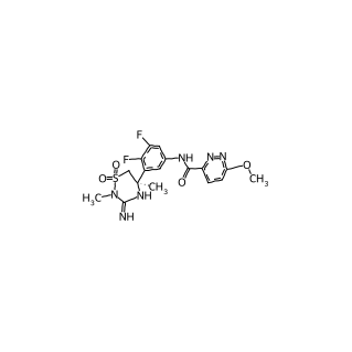 COc1ccc(C(=O)Nc2cc(F)c(F)c([C@]3(C)CS(=O)(=O)N(C)C(=N)N3)c2)nn1